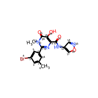 Cc1cc(Br)cc(-c2nc(C(=O)Nc3cnoc3)c(O)c(=O)n2C)c1